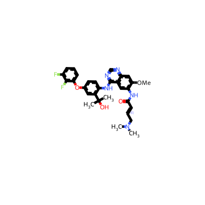 COc1cc2ncnc(Nc3ccc(Oc4cccc(F)c4F)cc3C(C)(C)O)c2cc1NC(=O)/C=C/CN(C)C